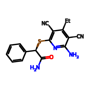 CCc1c(C#N)c(N)nc(S[C@@H](C(N)=O)c2ccccc2)c1C#N